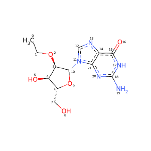 CCO[C@@H]1[C@H](O)[C@@H](CO)O[C@H]1n1cnc2c(=O)[nH]c(N)nc21